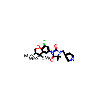 CSC1COc2c(Cl)cc(N3C(=O)N(Cc4ccncc4)C(C)(C)C3=O)cc2C1(SC)SC